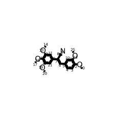 COc1ccc(/C=C(\C#N)c2cc(OC)c(OC)c(OC)c2)cc1OC